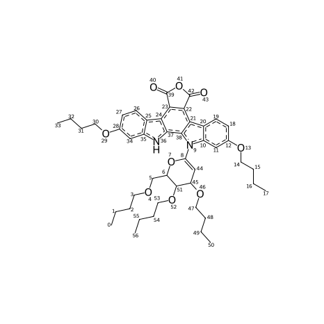 CCCCOCC1OC(n2c3cc(OCCCC)ccc3c3c4c(c5c6ccc(OCCCC)cc6[nH]c5c32)C(=O)OC4=O)=CC(OCCCC)C1OCCCC